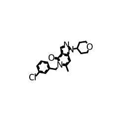 Cc1cc2c(cnn2C2CCOCC2)c(=O)n1Cc1cccc(Cl)c1